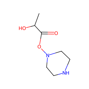 CC(O)C(=O)ON1CCNCC1